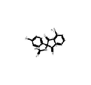 CCCC(=O)NC1(c2[c]cc(C(C)C)cc2)C(=O)c2cccc([N+](=O)[O-])c2C1=O